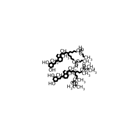 C=C1/C(=C\C=C2/CCC[C@@]3(C)C2CC[C@@H]3[C@H](C)/C=C/C(CCC(C)O[PH](=O)OC(C)C)CCC(C)O[PH](=O)OC(C)C)C[C@@H](O)C[C@@H]1O.C=C1C(=CC=C2CCC[C@@]3(C)C2CC[C@@H]3[C@H](C)C=CC(CCCCO[PH](=O)OCCC)CCCCO[PH](=O)OCCC)CC(O)CC1O